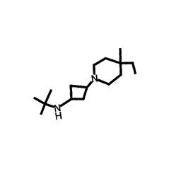 CCC1(C)CCN(C2CC(NC(C)(C)C)C2)CC1